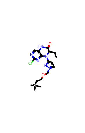 CCC1C(=O)Nc2cnc(Cl)nc2N1c1ccn(COCC[Si](C)(C)C)n1